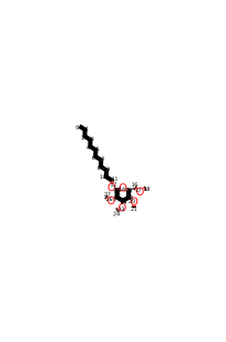 [CH2]CCCCCCCCCCCO[C@@H]1O[C@H](COC)[C@@H](OC)[C@H](OC)[C@H]1OC